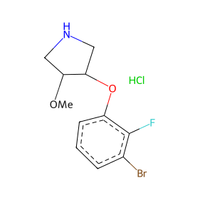 COC1CNCC1Oc1cccc(Br)c1F.Cl